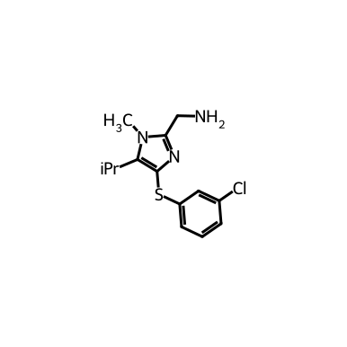 CC(C)c1c(Sc2cccc(Cl)c2)nc(CN)n1C